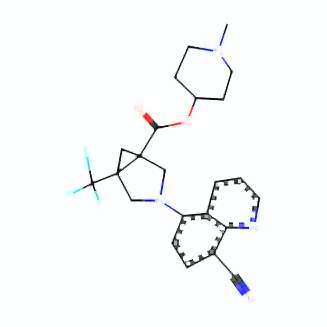 CN1CCC(OC(=O)C23CN(c4ccc(C#N)c5ncccc45)CC2(C(F)(F)F)C3)CC1